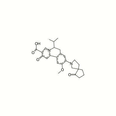 COc1cc2c(cc1N1CCC3(CCCC3=O)C1)CC(C(C)C)n1cc(C(=O)O)c(=O)cc1-2